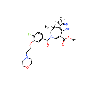 CC(C)OC(=O)C1=CN(C(=O)c2ccc(F)c(OCCN3CCOCC3)c2)CC(C)(C)c2c(C(F)(F)F)n[nH]c21